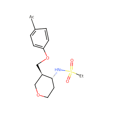 CCS(=O)(=O)N[C@@H]1CCOC[C@H]1COc1ccc(C(C)=O)cc1